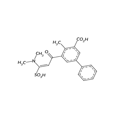 Cc1c(C(=O)O)cc(-c2ccccc2)cc1C(=O)C=C(N(C)C)S(=O)(=O)O